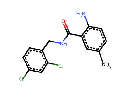 Nc1ccc([N+](=O)[O-])cc1C(=O)NCc1ccc(Cl)cc1Cl